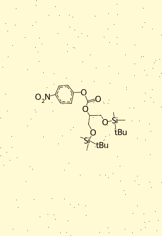 CC(C)(C)[Si](C)(C)OCC(CO[Si](C)(C)C(C)(C)C)OC(=O)Oc1ccc([N+](=O)[O-])cc1